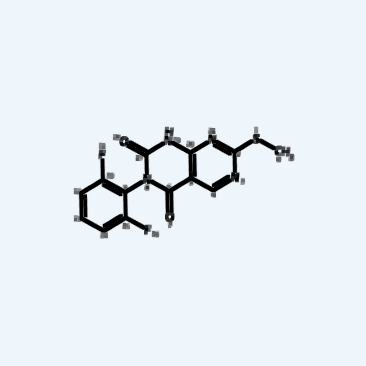 CSc1ncc2c(=O)n(-c3c(F)cccc3F)c(=O)[nH]c2n1